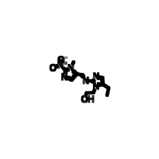 CCc1cnc(N=Cc2cnc([N+](=O)[O-])n2C)n1CCO